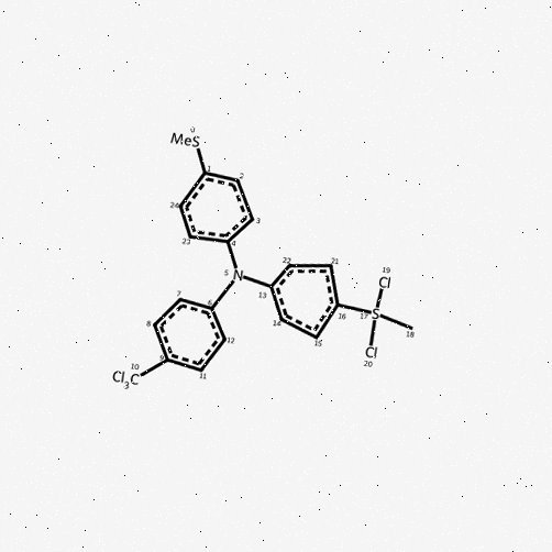 CSc1ccc(N(c2ccc(C(Cl)(Cl)Cl)cc2)c2ccc(S(C)(Cl)Cl)cc2)cc1